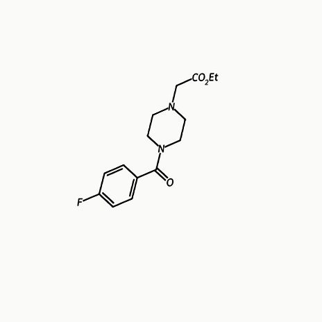 CCOC(=O)CN1CCN(C(=O)c2ccc(F)cc2)CC1